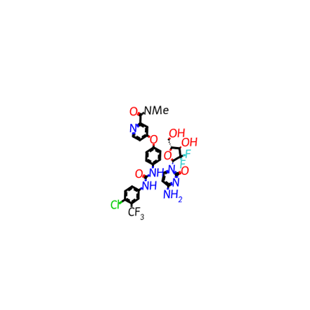 CNC(=O)c1cc(Oc2ccc(NC(=O)Nc3ccc(Cl)c(C(F)(F)F)c3)cc2)ccn1.Nc1ccn([C@@H]2O[C@H](CO)[C@@H](O)C2(F)F)c(=O)n1